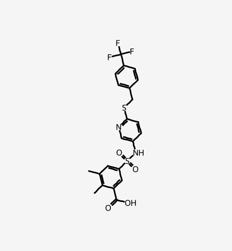 Cc1cc(S(=O)(=O)Nc2ccc(SCc3ccc(C(F)(F)F)cc3)nc2)cc(C(=O)O)c1C